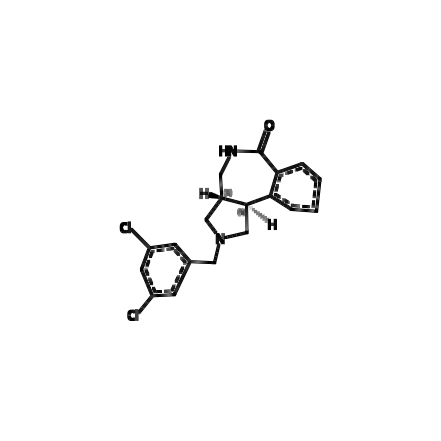 O=C1NC[C@H]2CN(Cc3cc(Cl)cc(Cl)c3)C[C@@H]2c2ccccc21